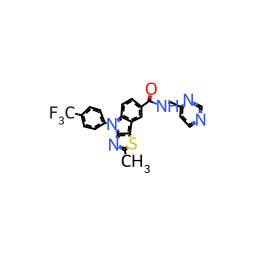 Cc1nc2c(s1)c1cc(C(=O)NCc3ccncn3)ccc1n2-c1ccc(C(F)(F)F)cc1